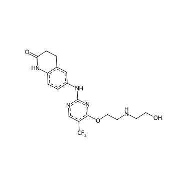 O=C1CCc2cc(Nc3ncc(C(F)(F)F)c(OCCNCCO)n3)ccc2N1